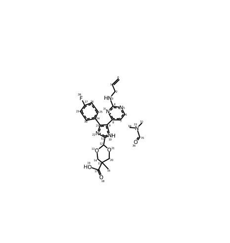 C=CCNc1nccc(-c2[nH]c(C3OCC(C)(C(=O)O)CO3)nc2-c2ccc(F)cc2)n1.CN(C)C=O